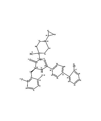 N#CC1(NC(=O)[C@H](Cc2c(F)cccc2F)NC(=O)c2ccc(-c3ccccc3Cl)cc2)CCN(C2CC2)CC1